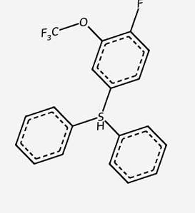 Fc1ccc([SH](c2ccccc2)c2ccccc2)cc1OC(F)(F)F